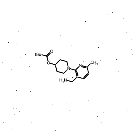 Cc1ccc(CN)c(N2CCC(OC(=O)C(C)(C)C)CC2)n1